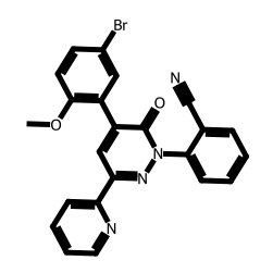 COc1ccc(Br)cc1-c1cc(-c2ccccn2)nn(-c2ccccc2C#N)c1=O